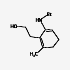 CCNC1=CCCC(C)=C1CCO